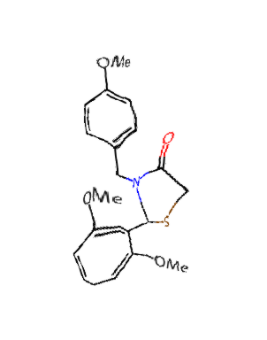 COc1ccc(CN2C(=O)CSC2c2c(OC)cccc2OC)cc1